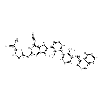 Cc1c(Nc2ncnc3cccnc23)cccc1-c1cccc(-c2nc3cc(CN4CCC(C(=O)O)C4)cc(C#N)c3o2)c1C